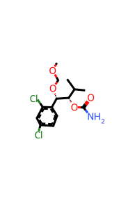 COCO[C@@H](c1ccc(Cl)cc1Cl)[C@@H](OC(N)=O)C(C)C